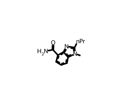 CCCc1nc2c(C(N)=O)cccc2n1C